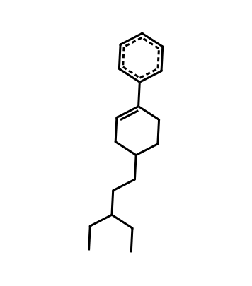 CCC(CC)CCC1CC=C(c2ccccc2)CC1